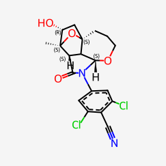 C[C@]12O[C@@]3(CCCO[C@H]4C3[C@@H]1C(=O)N4c1cc(Cl)c(C#N)c(Cl)c1)C[C@H]2O